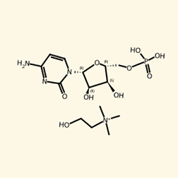 C[N+](C)(C)CCO.Nc1ccn([C@@H]2O[C@H](COP(=O)(O)O)[C@@H](O)[C@H]2O)c(=O)n1